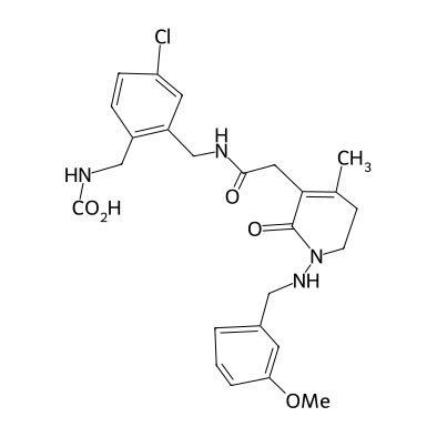 COc1cccc(CNN2CCC(C)=C(CC(=O)NCc3cc(Cl)ccc3CNC(=O)O)C2=O)c1